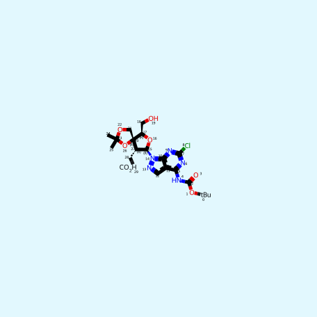 CC(C)(C)OC(=O)Nc1nc(Cl)nc2c1cnn2[C@@H]1O[C@H](CO)[C@]2(COC(C)(C)O2)[C@H]1CC(=O)O